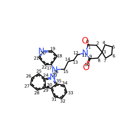 O=C1CC2(CCCC2)CC(=O)N1CCCCN(c1ccncc1)n1c2ccccc2c2ccccc21